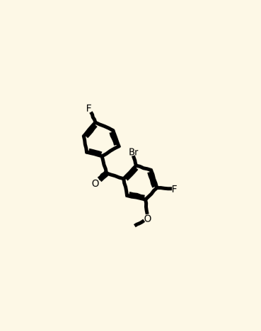 COc1cc(C(=O)c2ccc(F)cc2)c(Br)cc1F